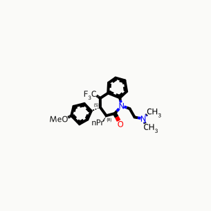 CCC[C@H]1C(=O)N(CCN(C)C)c2ccccc2C(C(F)(F)F)[C@H]1c1ccc(OC)cc1